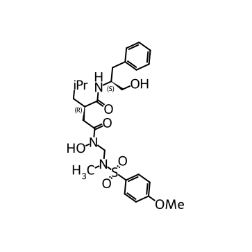 COc1ccc(S(=O)(=O)N(C)CN(O)C(=O)C[C@@H](CC(C)C)C(=O)N[C@H](CO)Cc2ccccc2)cc1